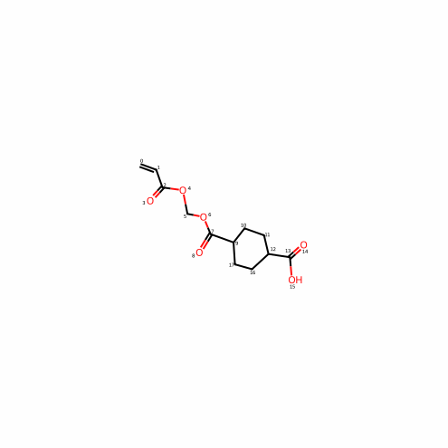 C=CC(=O)OCOC(=O)C1CCC(C(=O)O)CC1